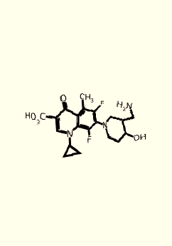 Cc1c(F)c(N2CCC(O)C(CN)C2)c(F)c2c1c(=O)c(C(=O)O)cn2C1CC1